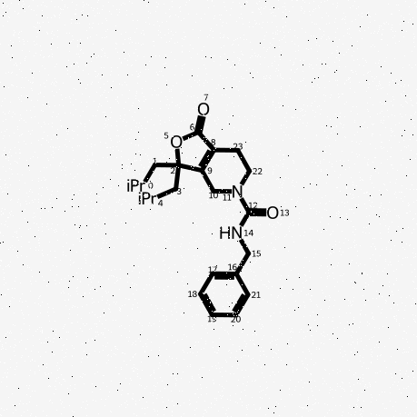 CC(C)CC1(CC(C)C)OC(=O)C2=C1CN(C(=O)NCc1ccccc1)CC2